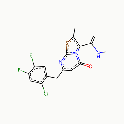 C=C(NC)c1c(C)sc2nc(Cc3cc(F)c(F)cc3Cl)cc(=O)n12